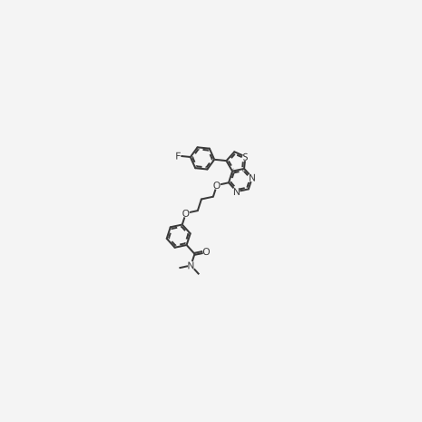 CN(C)C(=O)c1cccc(OCCCOc2ncnc3scc(-c4ccc(F)cc4)c23)c1